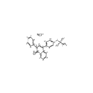 Cl.NS(=O)(=O)Cc1ccc(-c2nn(-c3ccccc3)c(=O)c3ccccc23)cc1